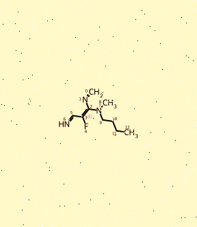 C=N/C(=C(/F)C=N)N(C)CCCC